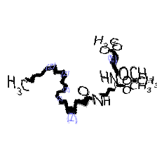 CCC=CC/C=C\C/C=C\C/C=C\C/C=C\C/C=C\CCC(=O)NCCCC[C@H](NC(=O)/C=C/C(=O)OC)C(=O)OC(C)(C)C